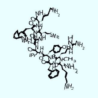 CSCC[C@H](NC(=O)[C@@H](NC(=O)[C@@H](NC(=O)[C@H](Cc1ccc(O)cc1)NC(=O)[C@H](Cc1ccccc1)NC(=O)[C@H](CCCNC(=N)N)N(C)C(=O)[C@H](N)CCCCN)C(C)C)C(C)C)C(=O)N[C@@H](Cc1c[nH]c2ccccc12)C(=O)N[C@@H](CCCCN)C(N)=O